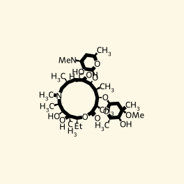 CC[C@H]1OC(=O)[C@H](C)[C@@H](O[C@H]2C[C@@](C)(OC)[C@@H](O)[C@H](C)O2)[C@H](C)[C@@H](O[C@@H]2O[C@H](C)C[C@H](NC)C2O)[C@](C)(O)C[C@@H](C)CN(C)[C@H](C)[C@@H](O)[C@]1(C)O